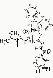 CC(C)NCC[C@@H]1N[C@H](CNC(=O)c2ccc(Cl)c(Cl)c2)CCN(CC(c2ccccc2)c2ccccc2)C1=O